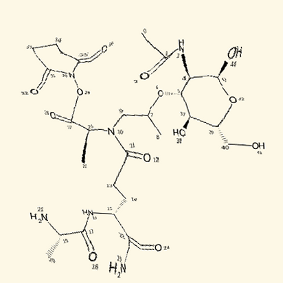 CC(=O)N[C@@H]1[C@@H](OC(C)CN(C(=O)CC[C@@H](NC(=O)[C@H](C)N)C(N)=O)[C@@H](C)C(=O)ON2C(=O)CCC2=O)[C@H](O)[C@@H](CO)O[C@@H]1O